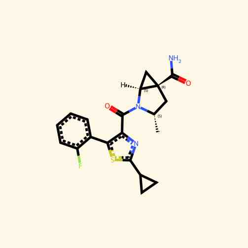 [CH2][C@H]1C[C@@]2(C(N)=O)C[C@@H]2N1C(=O)c1nc(C2CC2)sc1-c1ccccc1F